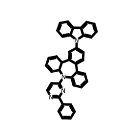 C1=CC2c3cc(-n4c5ccccc5c5ccccc54)ccc3-c3ccccc3N(c3ccnc(-c4ccccc4)n3)C2C=C1